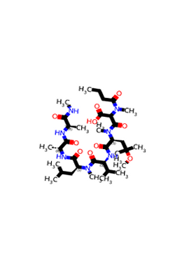 CCCC(=O)N(C)C(C(=O)O)C(=O)N(C)[C@@H](CC(C)(C)OC)C(=O)N[C@H](C(=O)N(C)[C@@H](CC(C)C)C(=O)N[C@H](C)C(=O)N[C@H](C)C(=O)NC)C(C)C